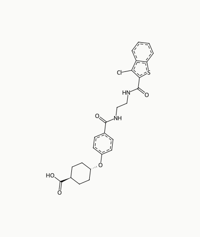 O=C(NCCNC(=O)c1sc2ccccc2c1Cl)c1ccc(O[C@H]2CC[C@H](C(=O)O)CC2)cc1